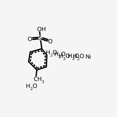 Cc1ccc(S(=O)(=O)O)cc1.O.O.O.O.O.O.[Ni]